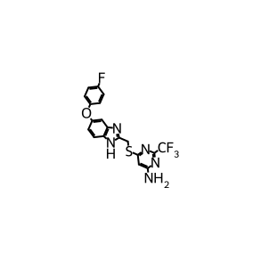 Nc1cc(SCc2nc3cc(Oc4ccc(F)cc4)ccc3[nH]2)nc(C(F)(F)F)n1